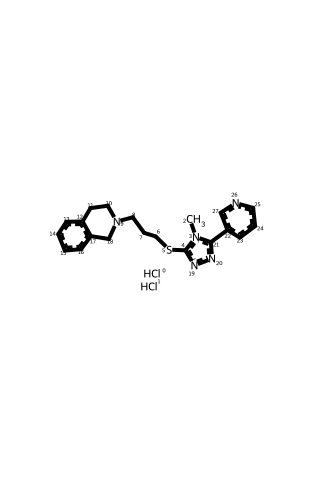 Cl.Cl.Cn1c(SCCCN2CCc3ccccc3C2)nnc1-c1cccnc1